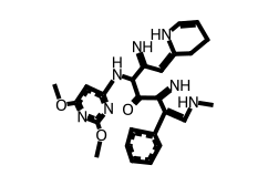 CN/C=C(\C(=N)C(=O)C(Nc1cc(OC)nc(OC)n1)C(=N)/C=C1/CCC=CN1)c1ccccc1